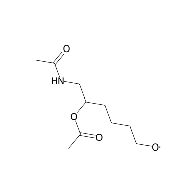 CC(=O)NCC(CCCC[O])OC(C)=O